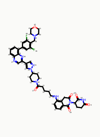 O=C1CCC(N2C(=O)Cc3c(NCCCCC(=O)N4CCC(n5cc(-c6cnc7cccc(-c8cc(F)c(CN9CCOCC9)c(F)c8)c7n6)cn5)CC4)cccc3C2=O)C(=O)N1